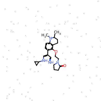 CC1CCc2c(ccc(/C(C=N)=C/NC3CC3)c2OCCN2CCCC2=O)N1C